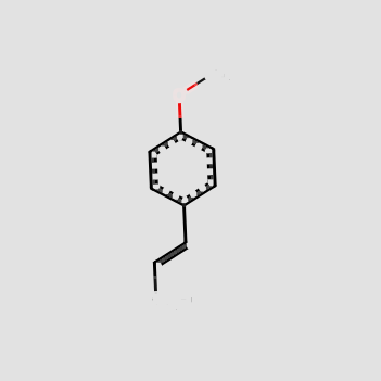 CCOC(=O)/C=C/c1ccc(OC(C)(C)C)cc1